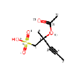 CC#CC(C)(CS(=O)(=O)O)OC(C)=O